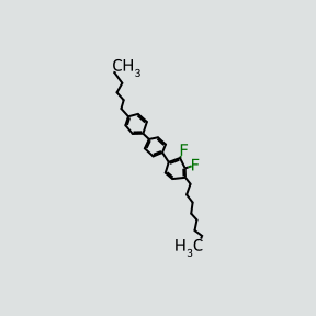 CCCCCCCCc1ccc(-c2ccc(-c3ccc(CCCCCC)cc3)cc2)c(F)c1F